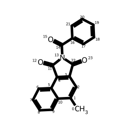 Cc1cc2c(c3ccccc13)C(=O)N(C(=O)c1ccccc1)C2=O